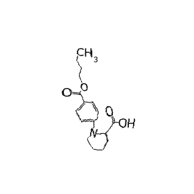 CCCCOC(=O)c1ccc(N2CCCCC2C(=O)O)cc1